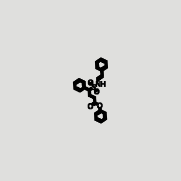 O=C(CCC(c1ccccc1)S(=O)(=O)NC=Cc1ccccc1)Oc1ccccc1